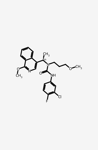 COCCCN(C(=O)Nc1ccc(F)c(Cl)c1)[C@H](C)c1cnc(OC)c2ccccc12